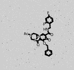 CC(=O)N1CC2CN(C1)C(=O)c1c(OCc3ccccc3)c(=O)c(C(=O)NCc3ccc(F)cc3F)cn12